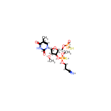 CO[C@H]1C(OP(=S)(OC)OCCC#N)[C@@H](CO[PH](=O)S)O[C@H]1n1cc(C)c(=O)[nH]c1=O